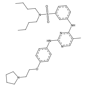 CCCCN(CCCC)S(=O)(=O)c1cccc(Nc2nc(Nc3ccc(OCCN4CCCC4)cc3)ncc2C)c1